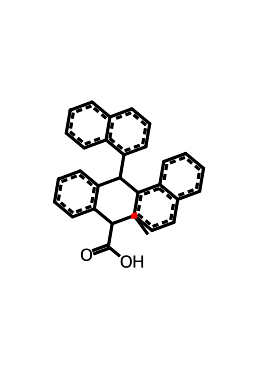 CCC(C(=O)O)c1ccccc1C(c1cccc2ccccc12)c1cccc2ccccc12